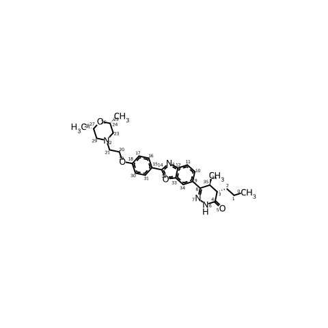 CCC[C@@H]1C(=O)NN=C(c2ccc3nc(-c4ccc(OCCN5C[C@@H](C)O[C@@H](C)C5)cc4)oc3c2)[C@H]1C